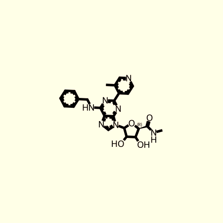 CNC(=O)[C@@H]1OC(n2cnc3c(NCc4ccccc4)nc(-c4ccncc4C)nc32)C(O)C1O